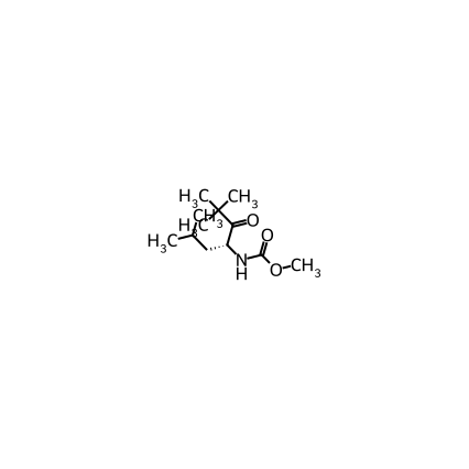 COC(=O)N[C@H](CC(C)C)C(=O)C(C)(C)C